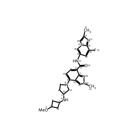 COC1CC(N[C@H]2CCN(c3ccc(C(=O)Nc4cc(F)c5nc(C)cn5c4)c4nn(C)cc34)C2)C1